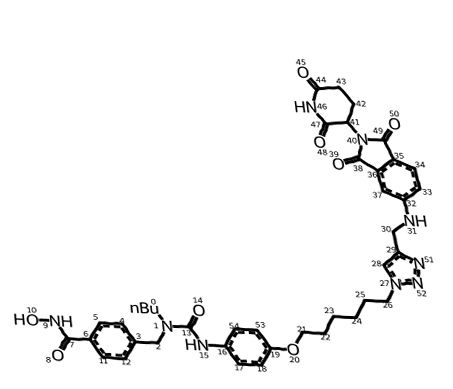 CCCCN(Cc1ccc(C(=O)NO)cc1)C(=O)Nc1ccc(OCCCCCCn2cc(CNc3ccc4c(c3)C(=O)N(C3CCC(=O)NC3=O)C4=O)nn2)cc1